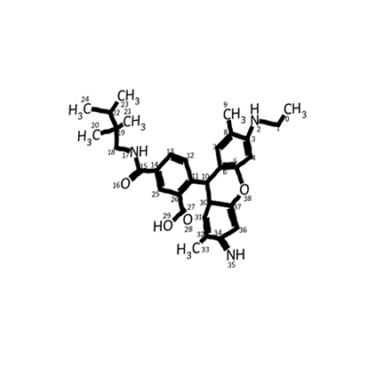 CCNc1cc2c(cc1C)C(c1ccc(C(=O)NCC(C)(C)C(C)C)cc1C(=O)O)C1C=C(C)C(=N)C=C1O2